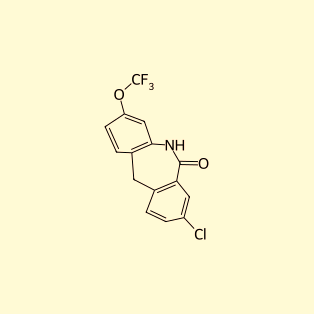 O=C1Nc2cc(OC(F)(F)F)ccc2Cc2ccc(Cl)cc21